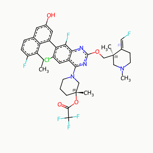 CCc1c(F)ccc2cc(O)cc(-c3c(Cl)cc4c(N5CCC[C@@](C)(OC(=O)C(F)(F)F)C5)nc(OC[C@]5(C)CN(C)CC/C5=C\F)nc4c3F)c12